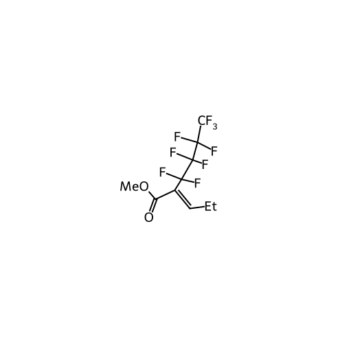 CCC=C(C(=O)OC)C(F)(F)C(F)(F)C(F)(F)C(F)(F)F